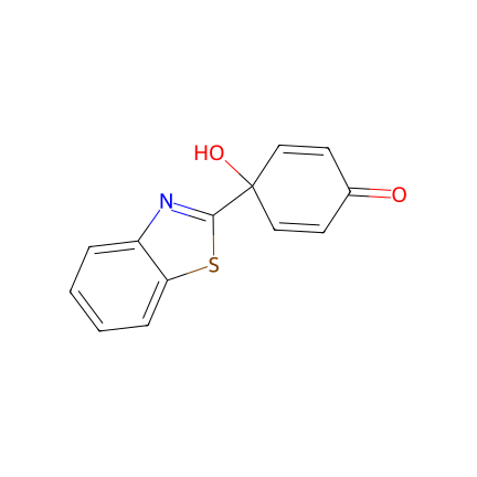 O=C1C=CC(O)(c2nc3ccccc3s2)C=C1